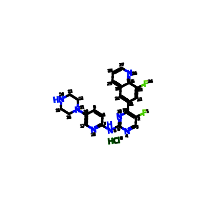 Cl.Fc1cnc(Nc2ccc(N3CCNCC3)cn2)nc1-c1cc(F)c2ncccc2c1